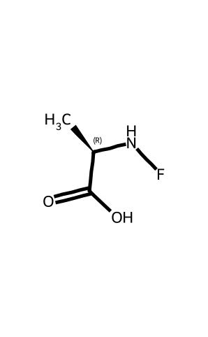 C[C@@H](NF)C(=O)O